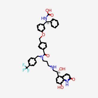 O=C(O)N[C@@H](c1ccccc1)c1cccc(OCc2ccc(C(=O)N(CCCNC[C@H](O)c3ccc(O)c4[nH]c(=O)ccc34)Cc3ccc(C(F)(F)F)cc3)cc2)c1